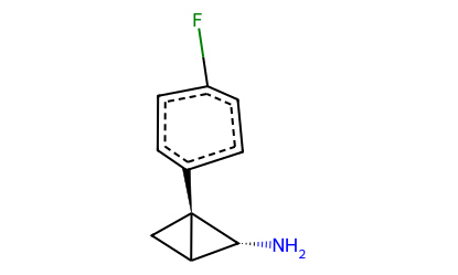 N[C@@H]1C2C[C@@]21c1ccc(F)cc1